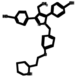 CCc1c(-c2ccc(O)cc2)nn(Cc2ccc(OCCC3CCCCN3)cc2)c1-c1ccc(O)cc1